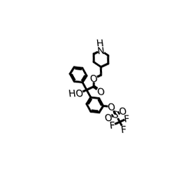 O=C(OCC1CCNCC1)C(O)(c1ccccc1)c1cccc(OS(=O)(=O)C(F)(F)F)c1